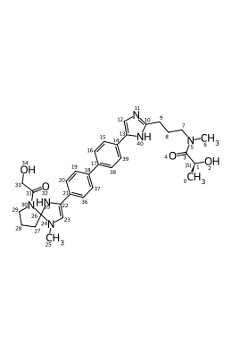 C[C@H](O)C(=O)N(C)CCCc1ncc(-c2ccc(-c3ccc(C4=CN(C)C5(CCCN5C(=O)CO)N4)cc3)cc2)[nH]1